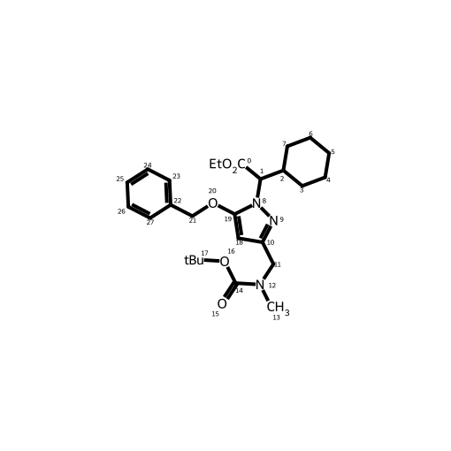 CCOC(=O)C(C1CCCCC1)n1nc(CN(C)C(=O)OC(C)(C)C)cc1OCc1ccccc1